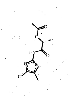 CC(=O)O[C@H](C)C(=O)Nc1nc(Cl)c(C)s1